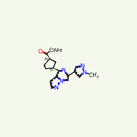 COC(=O)[C@@H]1CC[C@H](c2nc(-c3cnn(C)c3)cn3nccc23)C1